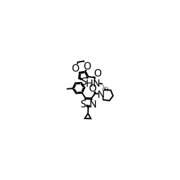 Cc1cccc(-c2sc(C3CC3)nc2C(=O)N2CCCC[C@H]2CNC(=O)c2scc3c2OCCO3)c1